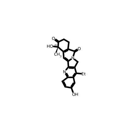 CCc1c2c(nc3ccc(O)cc13)-c1cc3c(c(=O)n1C2)CCC(=O)[C@@]3(C)O